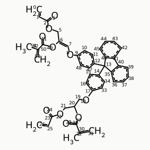 C=CC(=O)OCC(=COc1ccc(C2(c3ccc(OCC(COC(=O)C=C)OC(=O)C(=C)C)cc3)c3ccccc3-c3ccccc32)cc1)OC(=O)C(=C)C